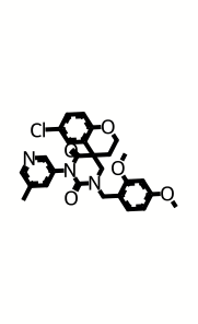 COc1ccc(CN2CC3(CCOc4ccc(Cl)cc43)C(=O)N(c3cncc(C)c3)C2=O)c(OC)c1